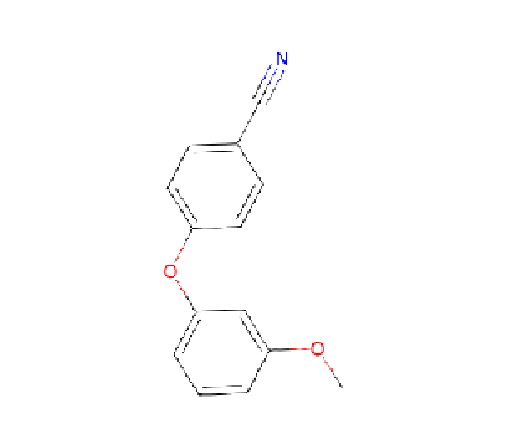 COc1cccc(Oc2ccc(C#N)cc2)c1